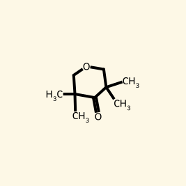 CC1(C)COCC(C)(C)C1=O